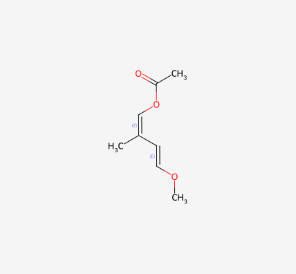 CO/C=C/C(C)=C\OC(C)=O